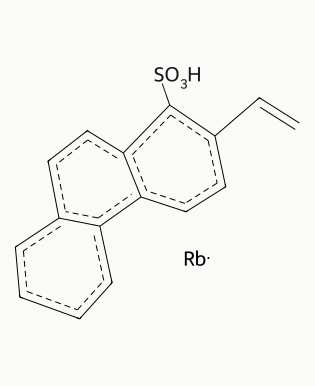 C=Cc1ccc2c(ccc3ccccc32)c1S(=O)(=O)O.[Rb]